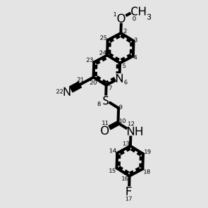 COc1ccc2nc(SCC(=O)Nc3ccc(F)cc3)c(C#N)cc2c1